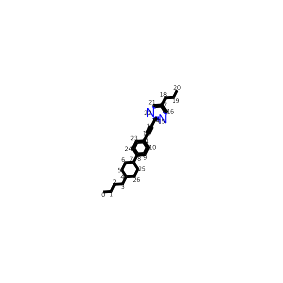 CCCCC1CCC(c2ccc(C#Cc3ncc(CCC)cn3)cc2)CC1